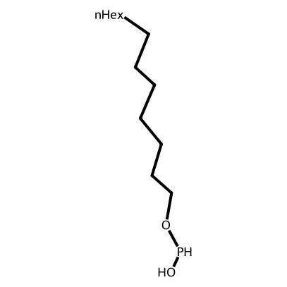 CCCCCCCCCCCCCOPO